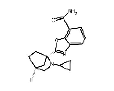 NC(=O)c1cccc2nc([C@]34CC[C@H](CN3C3CC3)C4)oc12